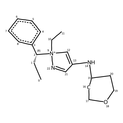 CC[C@H](c1ccccc1)[N+]1(CC)C=C(NC2CCOCC2)C=N1